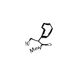 CNC(=O)C(CO)c1ccccc1